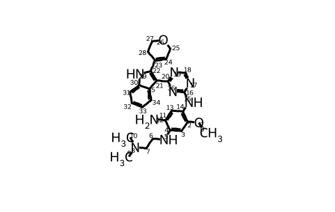 COc1cc(NCCN(C)C)c(N)cc1Nc1ncnc(-c2c(C3=CCOCC3)[nH]c3ccccc23)n1